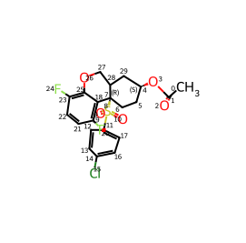 CC(=O)O[C@H]1CC[C@]2(S(=O)(=O)c3ccc(Cl)cc3)c3c(F)ccc(F)c3OCC2C1